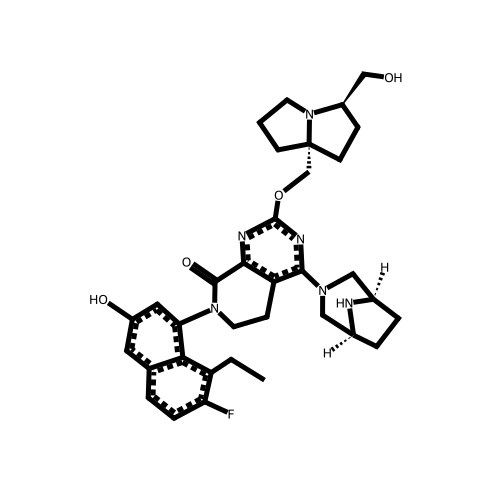 CCc1c(F)ccc2cc(O)cc(N3CCc4c(nc(OC[C@]56CCCN5[C@@H](CO)CC6)nc4N4C[C@H]5CC[C@@H](C4)N5)C3=O)c12